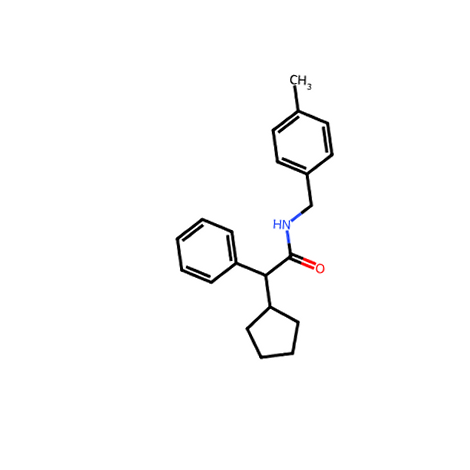 Cc1ccc(CNC(=O)C(c2ccccc2)C2CCCC2)cc1